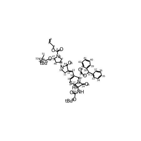 C=CCOC(=O)N1C[C@H](N2CCC(=CC3=CS[C@@H]4[C@H](NC(=O)OC(C)(C)C)C(=O)N4[C@H]3C(=O)OC(c3ccccc3)c3ccccc3)C2=O)C[C@@H]1OC[Si](C)(C)C(C)(C)C